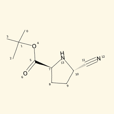 CC(C)(C)OC(=O)[C@@H]1CC[C@@H](C#N)N1